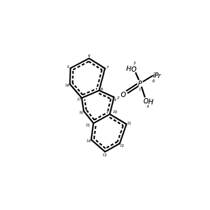 CC(C)P(=O)(O)O.c1ccc2cc3ccccc3cc2c1